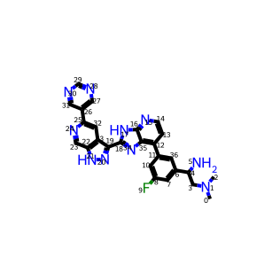 CN(C)CC(N)c1cc(F)cc(-c2ccnc3[nH]c(-c4n[nH]c5cnc(-c6cncnc6)cc45)nc23)c1